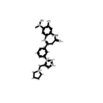 CC(C)N(C)c1cc2c(cc1Cl)NC(=O)CC(c1cccc(-n3nncc3CN3CCCC3)c1)=N2